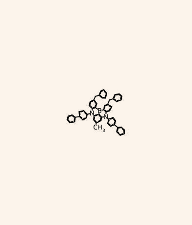 Cc1cc2c3c(c1)N(c1ccc(-c4ccccc4)cc1)c1ccc(Cc4ccccc4)cc1B3c1cc(Cc3ccccc3)ccc1N2c1ccc(-c2ccccc2)cc1